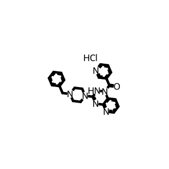 Cl.O=C(c1cccnc1)N1NC(N2CCN(Cc3ccccc3)CC2)=Nc2ncccc21